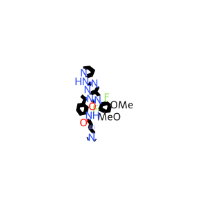 COc1cc(OC)c(F)c(N2Cc3cnc(Nc4ccccn4)nc3N(C(C)c3cccc(NC(=O)/C=C/CN(C)C)c3)C2=O)c1F